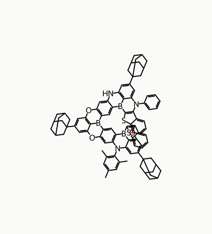 Cc1cc(C)c(N2c3cc4c(cc3B3c5sc6ccccc6c5Oc5cc(C67CC8CC(CC(C8)C6)C7)cc2c53)B2c3cc5c(cc3Oc3cc(C67CC8CC(CC(C8)C6)C7)cc(c32)O4)Nc2cc(C34CC6CC(CC(C6)C3)C4)cc3c2B5c2sc4ccccc4c2N3c2ccccc2)c(C)c1